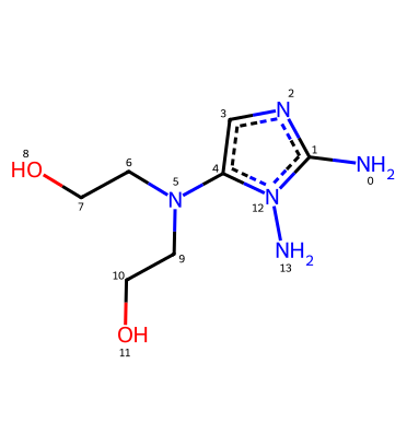 Nc1ncc(N(CCO)CCO)n1N